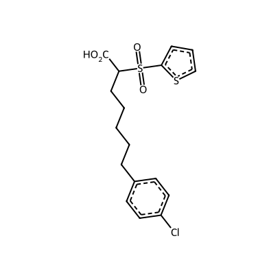 O=C(O)C(CCCCCc1ccc(Cl)cc1)S(=O)(=O)c1cccs1